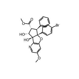 COC(=O)[C@H]1[C@@H](O)[C@@]2(O)c3ncc(OC)cc3O[C@@]2(c2ccc(Br)cc2)[C@@H]1c1ccccc1